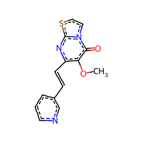 COc1c(/C=C/c2cccnc2)nc2sccn2c1=O